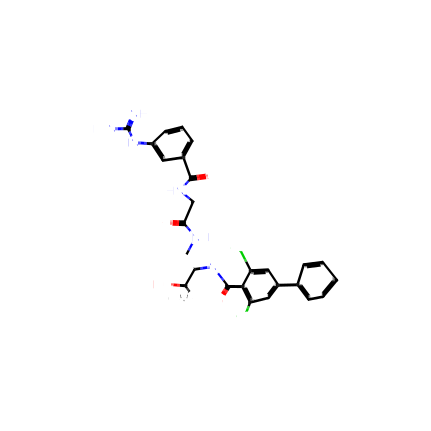 COC(O)[C@H](CNC(=O)CNC(=O)c1cccc(NC(=N)N)c1)NC(=O)c1c(Cl)cc(-c2ccccc2)cc1Cl